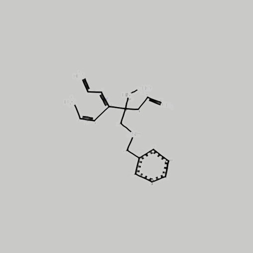 C=C/C=C(\C=C/C)C(CC=C)(CNCc1ccccc1)NC=O